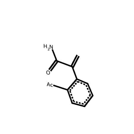 C=C(C(N)=O)c1ccccc1C(C)=O